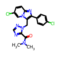 CN(C)C(=O)c1ncnn1Cc1c(-c2ccc(Cl)cc2)nc2ccc(Cl)cn12